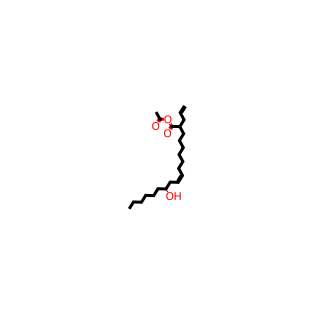 C=CCC(CCCCCC/C=C\C[C@H](O)CCCCCC)C(=O)OC(C)=O